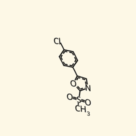 CS(=O)(=O)c1ncc(-c2ccc(Cl)cc2)o1